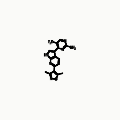 Cc1noc(C)c1-c1ccc2c(-c3nc(N)ncc3C(F)(F)F)c[nH]c2n1